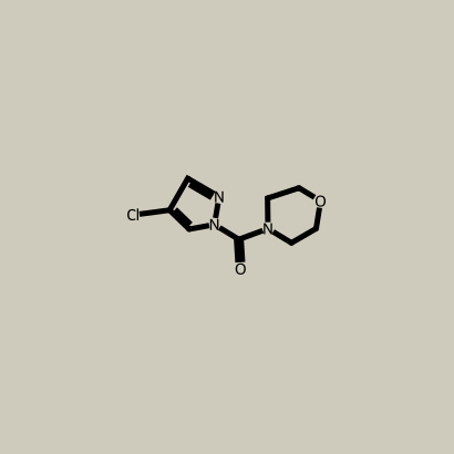 O=C(N1CCOCC1)n1cc(Cl)cn1